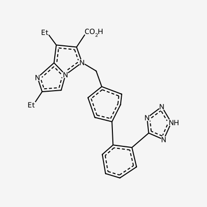 CCc1cn2c(n1)c(CC)c(C(=O)O)n2Cc1ccc(-c2ccccc2-c2nn[nH]n2)cc1